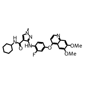 COc1cc2nccc(Oc3ccc(Nc4nn(C)cc4C(=O)NC4CCCCC4)c(F)c3)c2cc1OC